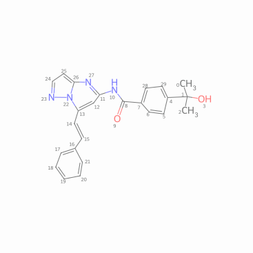 CC(C)(O)c1ccc(C(=O)Nc2cc(C=Cc3ccccc3)n3nccc3n2)cc1